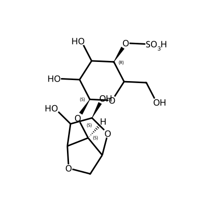 O=S(=O)(O)O[C@H]1C(CO)O[C@@H](O[C@H]2C3COC2C(O)[C@@H](O)O3)C(O)C1O